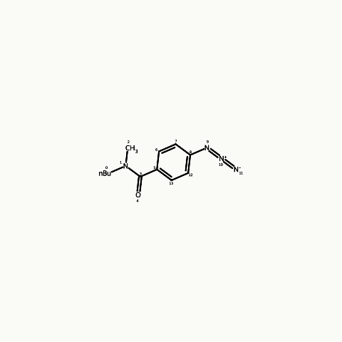 CCCCN(C)C(=O)c1ccc(N=[N+]=[N-])cc1